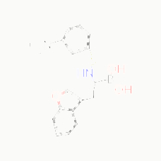 O=[N+]([O-])c1cccc(SNC(Cc2coc3ccccc23)B(O)O)c1